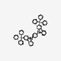 c1ccc(C(c2ccccc2)(c2ccccc2)c2ccc3c(c2)c2ccccc2n3-c2ccc(-n3c4ccccc4c4cc(C(c5ccccc5)(c5ccccc5)c5ccccc5)ccc43)cc2)cc1